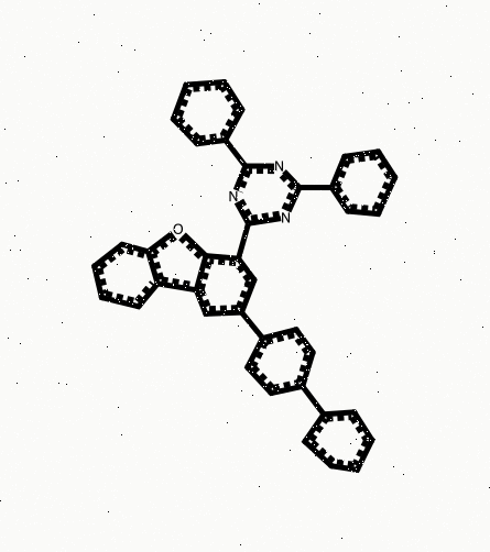 c1ccc(-c2ccc(-c3cc(-c4nc(-c5ccccc5)nc(-c5ccccc5)n4)c4oc5ccccc5c4c3)cc2)cc1